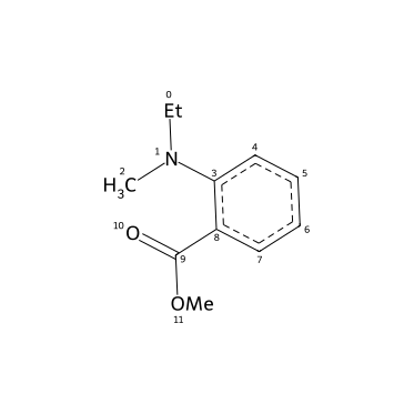 CCN(C)c1ccccc1C(=O)OC